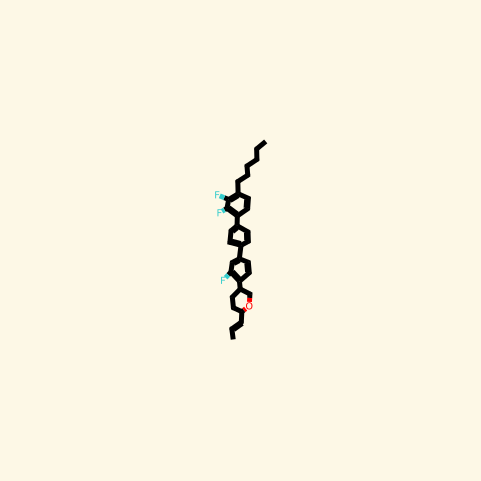 C/C=C/C1CCC(c2ccc(-c3ccc(-c4ccc(CCCCCC)c(F)c4F)cc3)cc2F)CO1